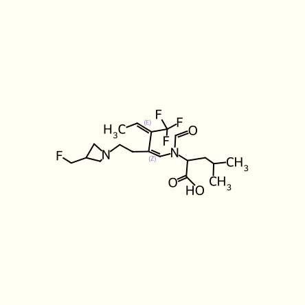 C/C=C(\C(=C/N(C=O)C(CC(C)C)C(=O)O)CCN1CC(CF)C1)C(F)(F)F